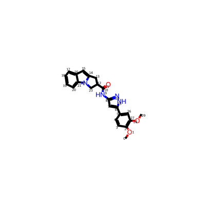 COc1ccc(-c2cc(NC(=O)C3Cc4cc5ccccc5n4C3)n[nH]2)cc1OC